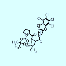 CC(C)CC(NC(=O)C1CCCN1C(=O)OC(C)(C)C)C(=O)NCC(=O)Oc1c(Cl)c(Cl)c(Cl)c(Cl)c1Cl